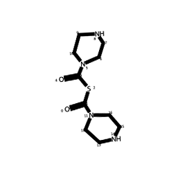 O=C(SC(=O)N1CCNCC1)N1CCNCC1